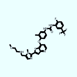 COCCNCc1cnc(-c2cc3nccc(Oc4ccc(NC(=O)Nc5cc(C(F)(F)F)ccc5F)cc4C)c3s2)n1C